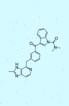 Cc1nc2ccnc(Cc3cccc(C(=O)c4cn(C(=O)N(C)C)c5ccccc45)c3)c2[nH]1